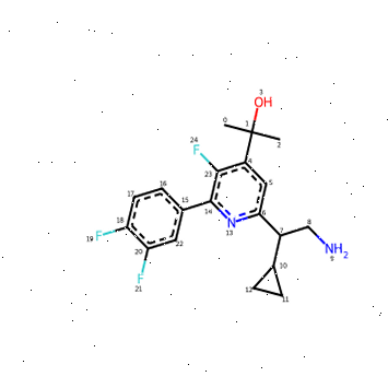 CC(C)(O)c1cc(C(CN)C2CC2)nc(-c2ccc(F)c(F)c2)c1F